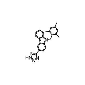 Cc1cc(C)c(Cn2c3ccccc3c3cc(-c4nn[nH]n4)ccc32)c(C)c1